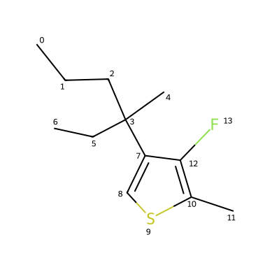 CCCC(C)(CC)c1csc(C)c1F